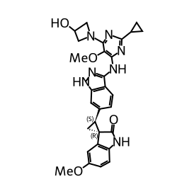 COc1ccc2c(c1)[C@]1(C[C@H]1c1ccc3c(Nc4nc(C5CC5)nc(N5CC(O)C5)c4OC)n[nH]c3c1)C(=O)N2